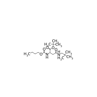 CCCCOC(=O)NC(CC(=O)NCC(C)(C)C)C(=O)OC(C)(C)C